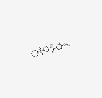 COc1ccc(C(=O)Nc2ccc(S(=O)(=O)N3CCCCCC3)cc2)cc1C